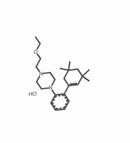 CCOCCN1CCN(c2ccccc2C2=CC(C)(C)CC(C)(C)C2)CC1.Cl